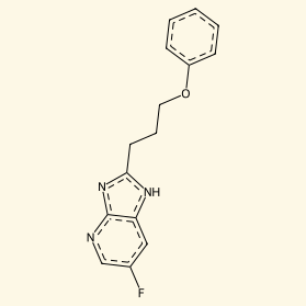 Fc1cnc2nc(CCCOc3ccccc3)[nH]c2c1